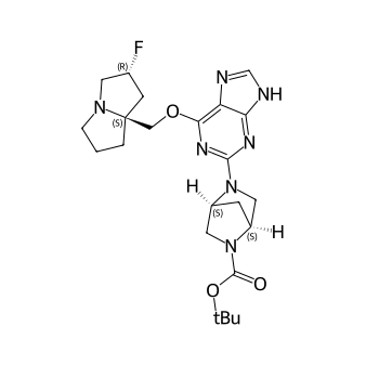 CC(C)(C)OC(=O)N1C[C@@H]2C[C@H]1CN2c1nc(OC[C@@]23CCCN2C[C@H](F)C3)c2nc[nH]c2n1